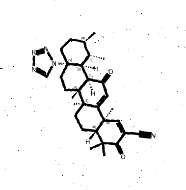 C[C@@H]1[C@H]2[C@H]3C(=O)C=C4[C@@]5(C)C=C(C#N)C(=O)C(C)(C)[C@@H]5CC[C@@]4(C)[C@]3(C)CC[C@@]2(n2cnnn2)CC[C@H]1C